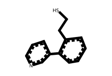 SCCc1ccccc1-c1cccnc1